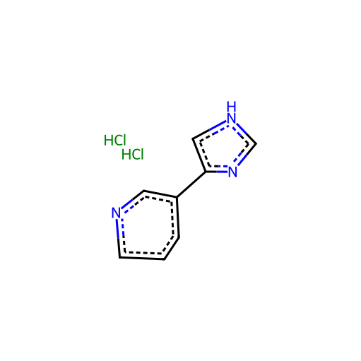 Cl.Cl.c1cncc(-c2c[nH]cn2)c1